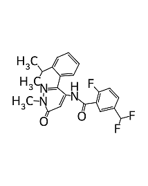 CC(C)c1ccccc1-c1nn(C)c(=O)cc1NC(=O)c1cc(C(F)F)ccc1F